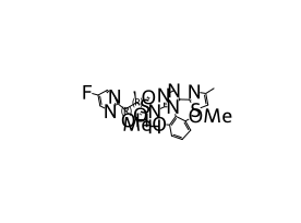 COc1cccc(OC)c1-n1c(NS(=O)(=O)[C@H](C)[C@H](O)c2ncc(F)cn2)nnc1-c1nc(C)cs1